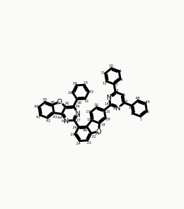 c1ccc(-c2cc(-c3ccccc3)nc(-c3ccc4c(c3)oc3cccc(-c5nc(-c6ccccc6)c6oc7ccccc7c6n5)c34)n2)cc1